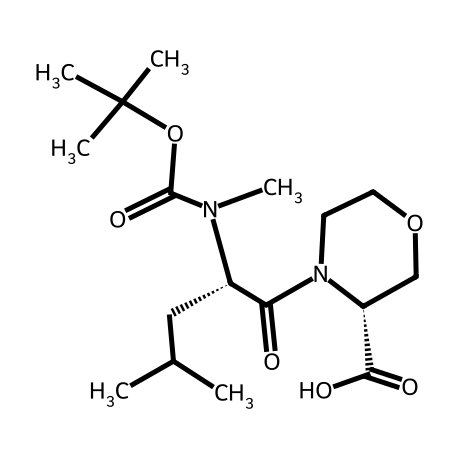 CC(C)C[C@@H](C(=O)N1CCOC[C@@H]1C(=O)O)N(C)C(=O)OC(C)(C)C